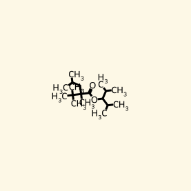 CC(C)CC(C)(C(=O)OC(C(C)C)C(C)C)C(C)(C)C